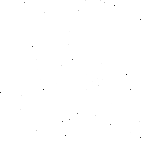 [N-]=[N+]=NCCOCCOCC(N)(CN)CN